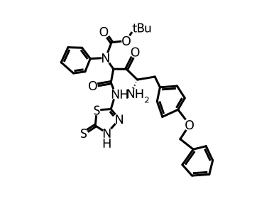 CC(C)(C)OC(=O)N(c1ccccc1)C(C(=O)Nc1n[nH]c(=S)s1)C(=O)[C@@H](N)Cc1ccc(OCc2ccccc2)cc1